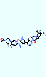 C[C@H]1CN(C2COC2)CCN1c1ccc(Nc2cc(-c3ccnc(N4CCn5c(cc6c5CC(C)(C)C6)C4=O)c3CO)c[nH]c2=O)nc1